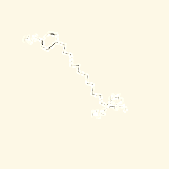 Cc1ccc(CCCCCCCCCCCC[N+](C)(C)C)cc1